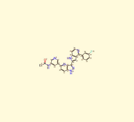 CCC(=O)Nc1cncc(-c2ccc3[nH]nc(-c4cc5c(-c6cccc(F)c6)nccc5[nH]4)c3n2)c1